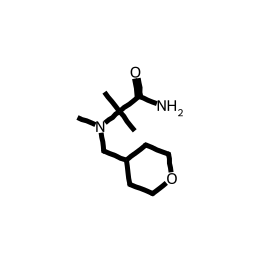 CN(CC1CCOCC1)C(C)(C)C(N)=O